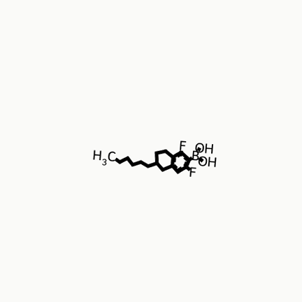 CCCCCCC1CCc2c(cc(F)c(B(O)O)c2F)C1